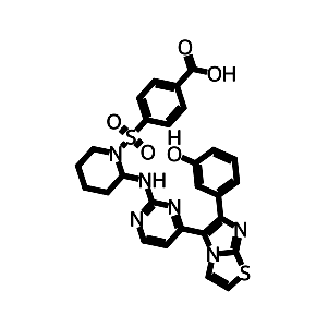 O=C(O)c1ccc(S(=O)(=O)N2CCCCC2Nc2nccc(-c3c(-c4cccc(O)c4)nc4sccn34)n2)cc1